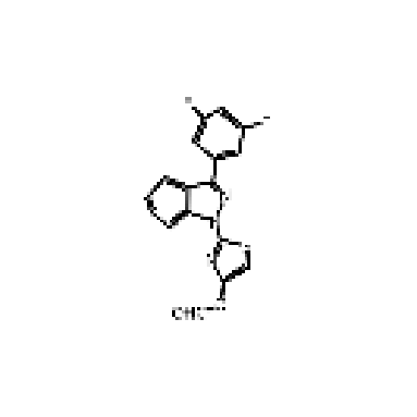 O=COc1csc(-n2nc(-c3cc(F)cc(F)c3)c3ccccc32)n1